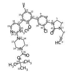 C#CCN1CCN(c2ccc(-c3cc(F)cc(-c4ccnc(N5CCN(C(=O)OC(C)(C)C)CC5)c4)c3OC)cc2Cl)C1=O